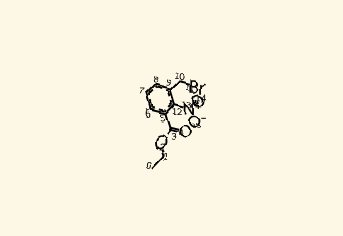 CCOC(=O)c1cccc(CBr)c1[N+](=O)[O-]